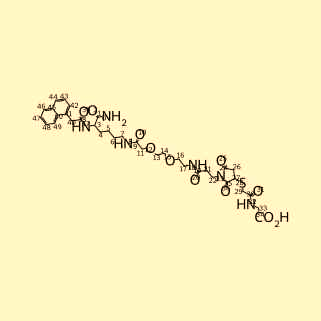 NC(=O)C(CCCCNC(=O)COCCOCCNC(=O)CCN1C(=O)CC(SCC(=O)NCC(=O)O)C1=O)NC(=O)Cc1cccc2ccccc12